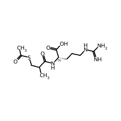 CC(=O)SCC(C)C(=O)N[C@@H](CCCNC(=N)N)C(=O)O